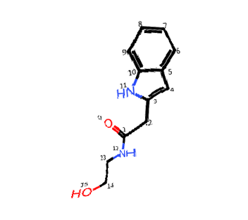 O=C([CH]c1cc2ccccc2[nH]1)NCCO